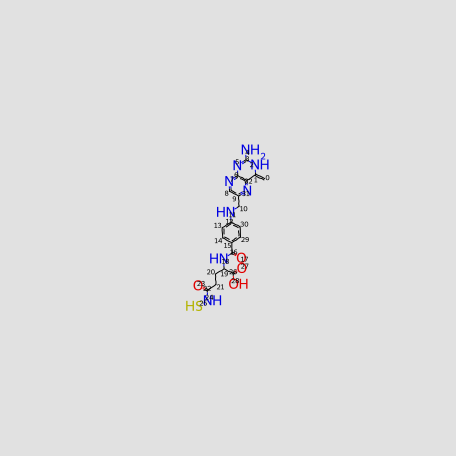 C=C1NC(N)=Nc2ncc(CNc3ccc(C(=O)NC(CCC(=O)NS)C(=O)O)cc3)nc21